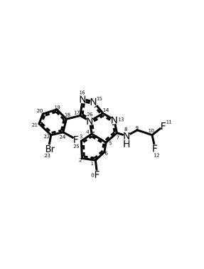 Fc1ccc2c(c1)c(NCC(F)F)nc1nnc(-c3cccc(Br)c3F)n12